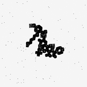 CCN(C(=O)C(CC(O)C(CC(CNC(=O)c1ccc(O)cc1OCCCCOC)C(C)C)NC(=O)OC(C)(C)C)C(C)C)N1CCOCC1